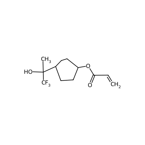 C=CC(=O)OC1CCC(C(C)(O)C(F)(F)F)CC1